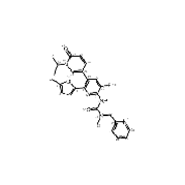 Cc1ccc(-c2nc(NC(=O)N(C)Cc3ccccn3)c(F)cc2-c2ccc(=O)n(C(C)C)c2)o1